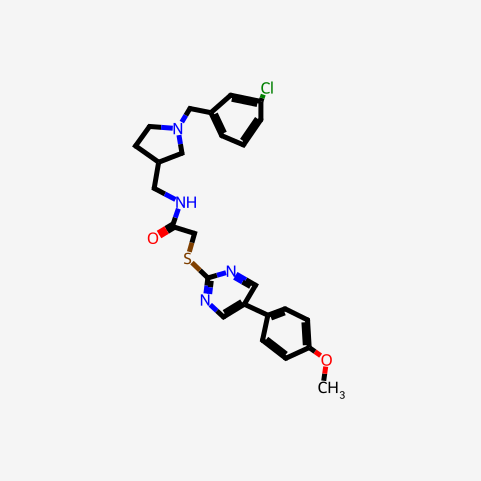 COc1ccc(-c2cnc(SCC(=O)NCC3CCN(Cc4cccc(Cl)c4)C3)nc2)cc1